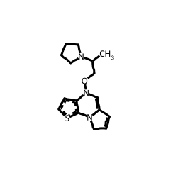 CC(CON1C=C2C=CCN2c2sccc21)N1CCCC1